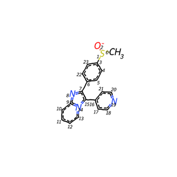 C[S+]([O-])c1ccc(-c2nc3ccccn3c2-c2ccncc2)cc1